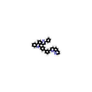 c1ccc(-c2ccc3c(ccc4c5ccccc5nc(-c5ccc(-c6cccc(-c7ccc8ccc9cccnc9c8n7)c6)cc5)c34)n2)cc1